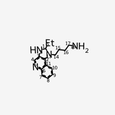 CCC1Nc2cnc3ccccc3c2N1CCCCN